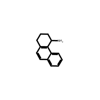 NC1CCCc2ccc3ccccc3c21